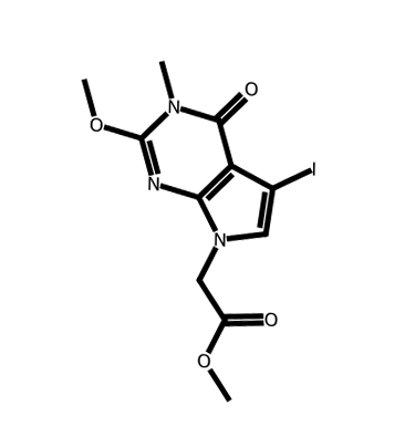 COC(=O)Cn1cc(I)c2c(=O)n(C)c(OC)nc21